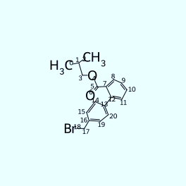 CC(C)COC(=O)c1ccccc1-c1ccc(CBr)cc1